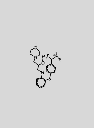 COC(CN1CCN(C)CC1)CN1c2ccccc2Sc2ccc(C(P)[C@H](C)F)cc21